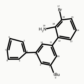 CC(C)(C)c1cc(-c2ccccc2)cc(-c2cccc(Br)c2N)c1